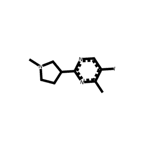 Cc1nc(C2CCN(C)C2)ncc1I